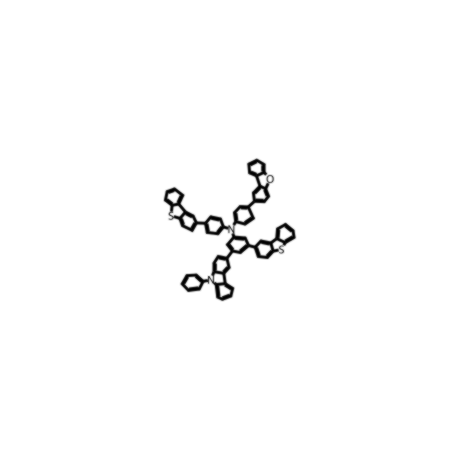 c1ccc(-n2c3ccccc3c3cc(-c4cc(-c5ccc6sc7ccccc7c6c5)cc(N(c5ccc(-c6ccc7oc8ccccc8c7c6)cc5)c5ccc(-c6ccc7sc8ccccc8c7c6)cc5)c4)ccc32)cc1